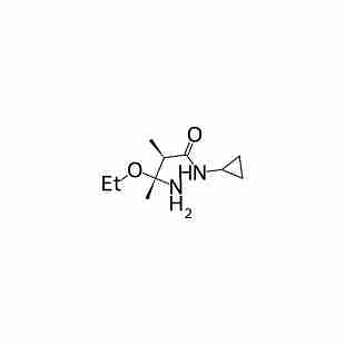 CCO[C@@](C)(N)[C@@H](C)C(=O)NC1CC1